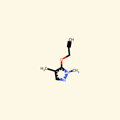 C#CCOc1c(C)[c]nn1C